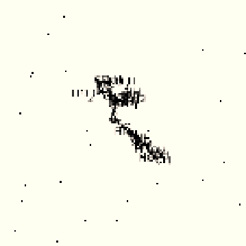 CC[C@H](C)[C@H](NC(=O)[C@H](CC(C)C)NC(=O)C1(NC(=O)CCSCc2cccc(CSCCC(=O)NC3CCN(CC(=O)N[C@H](CCC(=O)NCC[C@@H](O)[C@H](O)[C@H](O)CO)C(N)=O)CC3)n2)CCN(C(=O)CN2CCN(CC(=O)O)CCN(CC(=O)O)CCN(CC(=O)O)CC2)CC1)C(N)=O